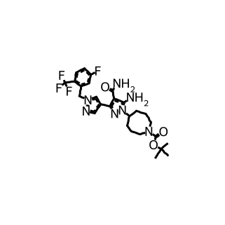 CC(C)(C)OC(=O)N1CCCC(n2nc(-c3cnn(Cc4cc(F)ccc4C(F)(F)F)c3)c(C(N)=O)c2N)CCC1